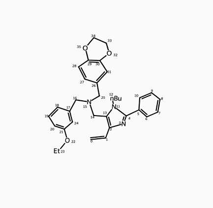 C=Cc1nc(-c2ccccc2)n(CCCC)c1CN(Cc1cccc(OCC)c1)Cc1ccc2c(c1)OCCO2